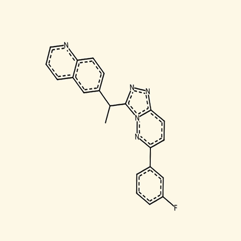 CC(c1ccc2ncccc2c1)c1nnc2ccc(-c3cccc(F)c3)nn12